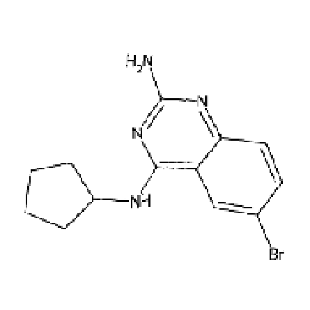 Nc1nc(NC2CCCC2)c2cc(Br)ccc2n1